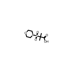 CC(C)(C(=O)O)S(=O)(=O)N1CCOCC1